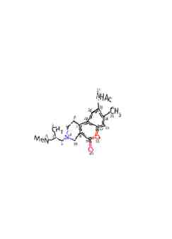 CNC(C)CN1CCc2c(c(=O)oc3cc(C)c(NC(C)=O)cc23)C1